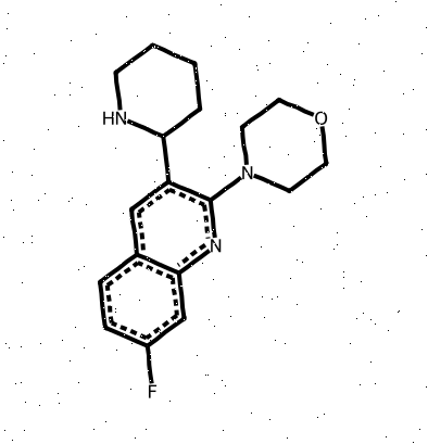 Fc1ccc2cc(C3CCCCN3)c(N3CCOCC3)nc2c1